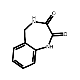 O=C1NCc2ccccc2NC1=O